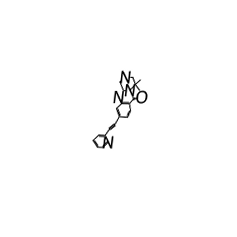 CN1Cc2nc3cc(C#Cc4ccccn4)ccc3c(=O)n2C(C)(C)C1